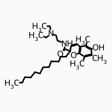 CCCCCCCCCCCCC1(C(=O)NCCN(CC)CC)C=Cc2c(C)c(O)c(C)c(C)c2O1